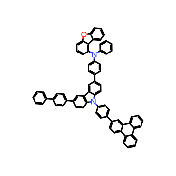 c1ccc(-c2ccc(-c3ccc4c(c3)c3cc(-c5ccc(N(c6ccccc6)c6cccc7oc8ccccc8c67)cc5)ccc3n4-c3ccc(-c4ccc5c6ccccc6c6ccccc6c5c4)cc3)cc2)cc1